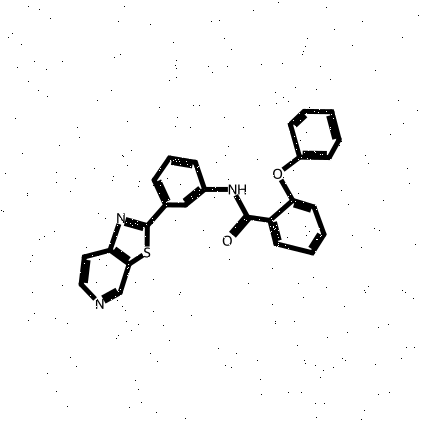 O=C(Nc1cccc(-c2nc3ccncc3s2)c1)c1ccccc1Oc1ccccc1